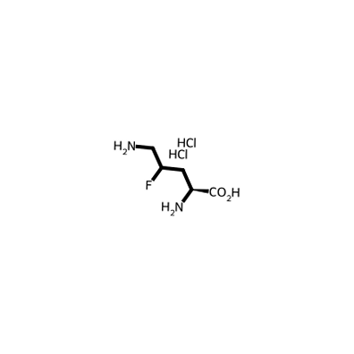 Cl.Cl.NCC(F)C[C@H](N)C(=O)O